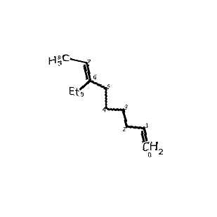 C=CCCCC/C(=C/C)CC